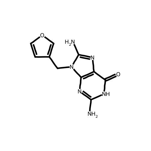 Nc1nc2c(nc(N)n2Cc2ccoc2)c(=O)[nH]1